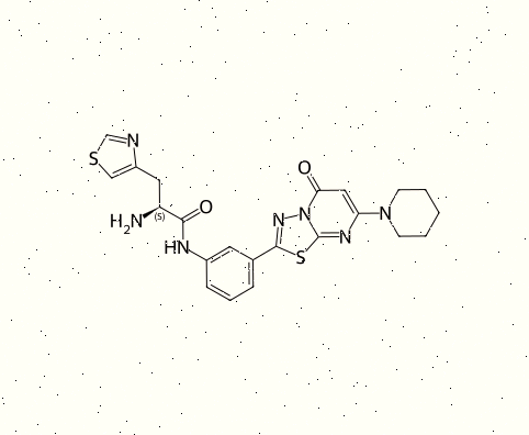 N[C@@H](Cc1cscn1)C(=O)Nc1cccc(-c2nn3c(=O)cc(N4CCCCC4)nc3s2)c1